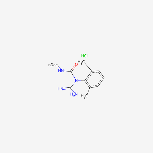 CCCCCCCCCCNC(=O)N(C(=N)N)c1c(C)cccc1C.Cl